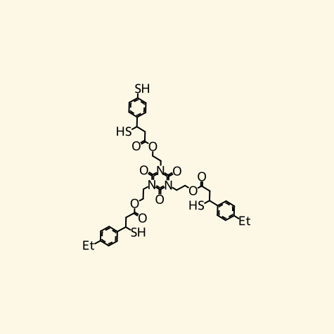 CCc1ccc(C(S)CC(=O)OCCn2c(=O)n(CCOC(=O)CC(S)c3ccc(S)cc3)c(=O)n(CCOC(=O)CC(S)c3ccc(CC)cc3)c2=O)cc1